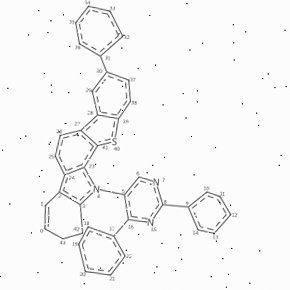 C1=Cc2c(n(-c3cnc(-c4ccccc4)nc3-c3ccccc3)c3c2ccc2c4cc(-c5ccccc5)ccc4sc23)CC1